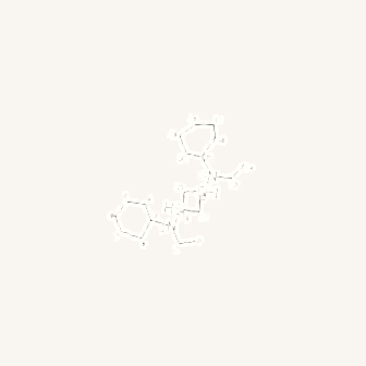 CCN(C1CCCCC1)[SiH]1C[SiH](N(CC)C2CCCCC2)C1